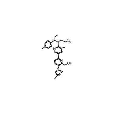 CC[C@@H](c1ccc(C)cc1)N(CCOC)c1nnc(-c2ccc(-n3cnc(C)c3)c(CO)n2)cc1C